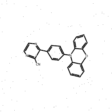 N#Cc1nccnc1-c1ccc(N2c3ccccc3Oc3ccccc32)cc1